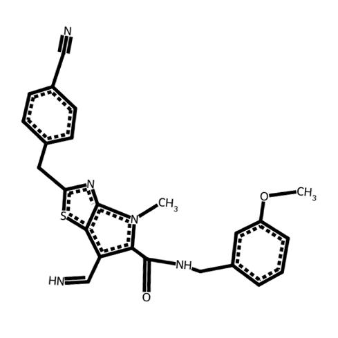 COc1cccc(CNC(=O)c2c(C=N)c3sc(Cc4ccc(C#N)cc4)nc3n2C)c1